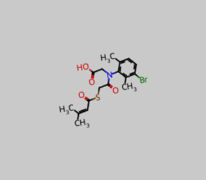 CC(C)=CC(=O)SCC(=O)N(CC(=O)O)c1c(C)ccc(Br)c1C